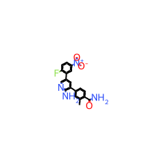 Cc1cc(-c2cc(-c3cc([N+](=O)[O-])ccc3F)cnc2N)ccc1C(N)=O